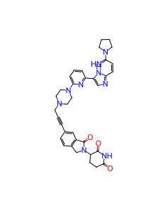 N=C(/C=C\c1ncc(-c2cccc(N3CCN(CC#Cc4ccc5c(c4)C(=O)N(C4CCC(=O)NC4=O)C5)CC3)n2)[nH]1)N1CCCC1